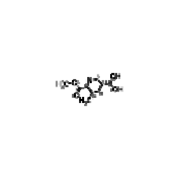 COC(=O)c1ncc(B(O)O)cc1C